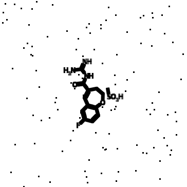 CS(=O)(=O)O.N=C(N)NC(=O)C1=Cc2cc(F)ccc2OCC1